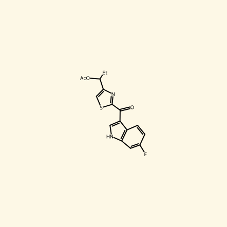 CCC(OC(C)=O)c1csc(C(=O)c2c[nH]c3cc(F)ccc23)n1